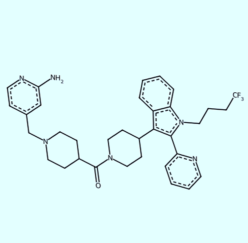 Nc1cc(CN2CCC(C(=O)N3CCC(c4c(-c5ccccn5)n(CCCC(F)(F)F)c5ccccc45)CC3)CC2)ccn1